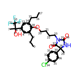 CCCc1cc(C(C)(O)C(F)(F)F)cc(CCC)c1OCCCCN1C(=O)NC(C)(c2ccc(Cl)cc2)C1=O